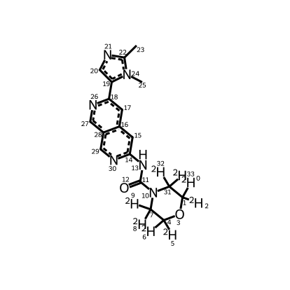 [2H]C1([2H])OC([2H])([2H])C([2H])([2H])N(C(=O)Nc2cc3cc(-c4cnc(C)n4C)ncc3cn2)C1([2H])[2H]